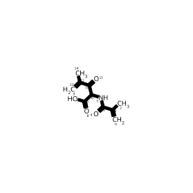 C=C(C)C(=O)NC(C(=O)O)C(=O)C(=C)C